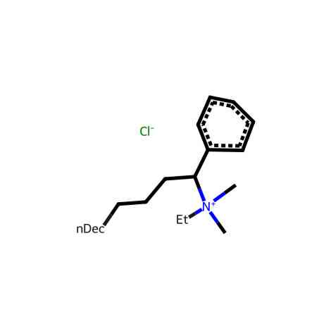 CCCCCCCCCCCCCC(c1ccccc1)[N+](C)(C)CC.[Cl-]